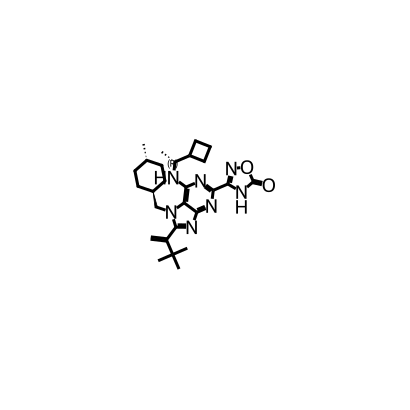 C=C(c1nc2nc(-c3noc(=O)[nH]3)nc(N[C@H](C)C3CCC3)c2n1C[C@H]1CC[C@H](C)CC1)C(C)(C)C